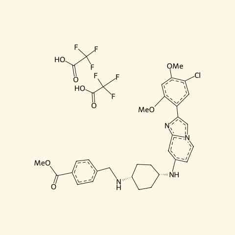 COC(=O)c1ccc(CN[C@H]2CC[C@@H](Nc3ccn4cc(-c5cc(Cl)c(OC)cc5OC)nc4c3)CC2)cc1.O=C(O)C(F)(F)F.O=C(O)C(F)(F)F